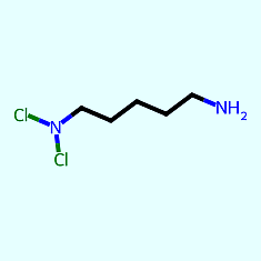 NCCCCCN(Cl)Cl